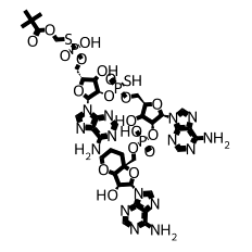 CC(C)(C)C(=O)OCSP(=O)(O)OC[C@H]1O[C@@H](n2cnc3c(N)ncnc32)[C@@H](OP(=O)(S)OC[C@H]2O[C@@H](n3cnc4c(N)ncnc43)[C@@H](OP(=O)(O)OC[C@]34CCCOC3[C@H](O)[C@H](n3cnc5c(N)ncnc53)O4)C2O)C1O